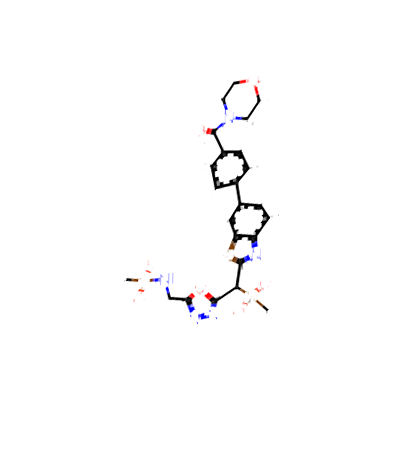 CS(=O)(=O)NCc1nnc(C(c2nc3ccc(-c4ccc(C(=O)N5CCOCC5)cc4)cc3s2)S(C)(=O)=O)o1